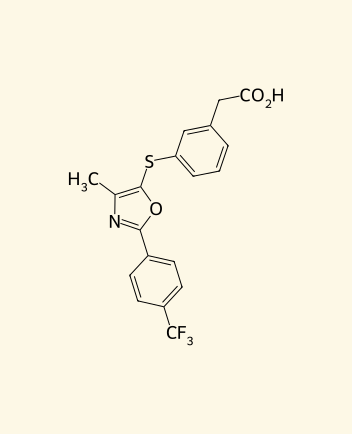 Cc1nc(-c2ccc(C(F)(F)F)cc2)oc1Sc1cccc(CC(=O)O)c1